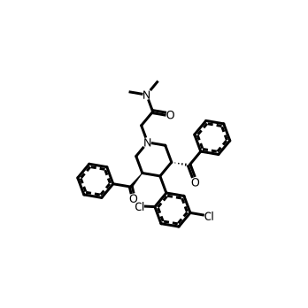 CN(C)C(=O)CN1C[C@H](C(=O)c2ccccc2)C(c2cc(Cl)ccc2Cl)[C@@H](C(=O)c2ccccc2)C1